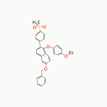 C[CH]Oc1ccc(Oc2c(-c3ccc(S(C)(=O)=O)cc3)ccc3cc(OCc4ccccc4)ccc23)cc1